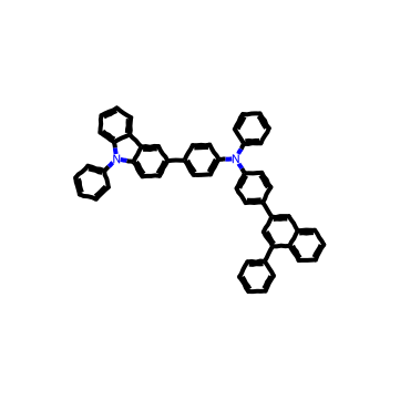 c1ccc(-c2cc(-c3ccc(N(c4ccccc4)c4ccc(-c5ccc6c(c5)c5ccccc5n6-c5ccccc5)cc4)cc3)cc3ccccc23)cc1